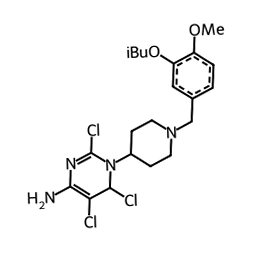 COc1ccc(CN2CCC(N3C(Cl)=NC(N)=C(Cl)C3Cl)CC2)cc1OCC(C)C